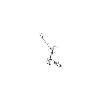 COCCOCCOCCOCCOCCOCCC(=O)N[C@@H](CCCCN)C(=O)NCCCCCCN1N=C(c2ccc(NC(=O)N3Cc4ccncc4C3)cc2)CC(c2cccc3ncccc23)C1=O